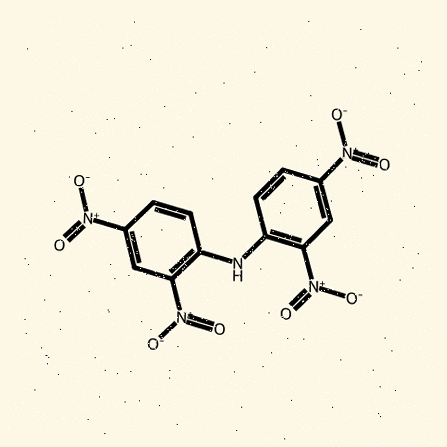 O=[N+]([O-])c1ccc(Nc2ccc([N+](=O)[O-])cc2[N+](=O)[O-])c([N+](=O)[O-])c1